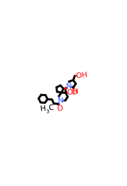 CC(CC1CCCCC1)C(=O)N1CCC(O)(CN2CC(CO)CC2=O)C2(CCCC2)C1